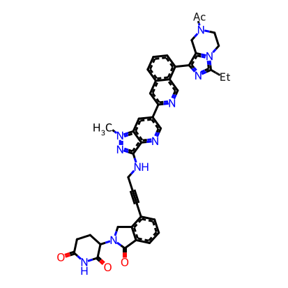 CCc1nc(-c2cccc3cc(-c4cnc5c(NCC#Cc6cccc7c6CN(C6CCC(=O)NC6=O)C7=O)nn(C)c5c4)ncc23)c2n1CCN(C(C)=O)C2